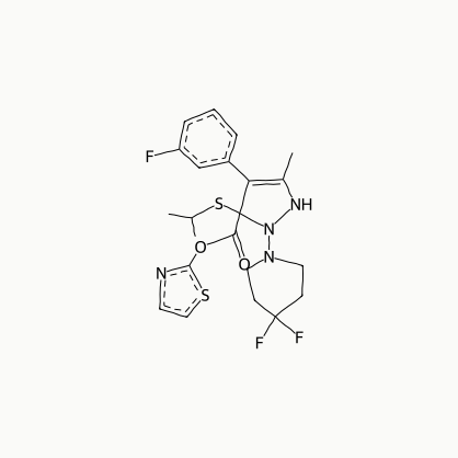 CC1=C(c2cccc(F)c2)C(SC(C)C)(C(=O)Oc2nccs2)N(N2CCC(F)(F)CC2)N1